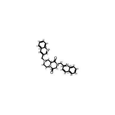 O=C1C2CN(Cc3cnc4ccccc4c3)CCN2C(=O)CN1Cc1ccc2ccccc2n1